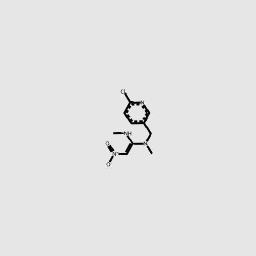 CN/C(=C\[N+](=O)[O-])N(C)Cc1ccc(Cl)nc1